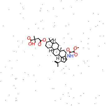 C=C(C)[C@@H]1CC[C@]2(NC(=O)C(=O)OC)CC[C@]3(C)[C@H](CC[C@@H]4[C@@]5(C)CC[C@H](OC(=O)CC(C)(C)C(=O)O)C(C)(C)[C@@H]5CC[C@]43C)[C@@H]12